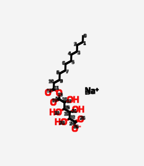 CCCCCCCCCCCC(=O)OC(=O)C(O)C(O)C(O)C(O)C(=O)[O-].[Na+]